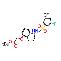 CC(C)(C)OC(=O)COc1cccc2c1CCC[C@H]2NCS(=O)(=O)c1cc(F)cc(C(F)(F)F)c1